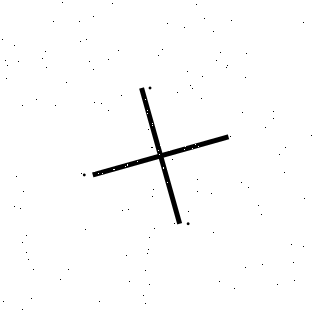 [CH2]C([CH2])([CH2])C